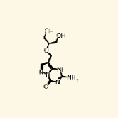 Nc1nc(=O)n2ncc(COC(CO)CO)c2[nH]1